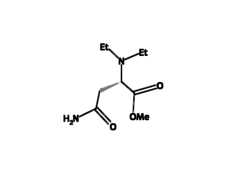 CCN(CC)[C@@H](CC(N)=O)C(=O)OC